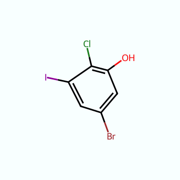 Oc1cc(Br)cc(I)c1Cl